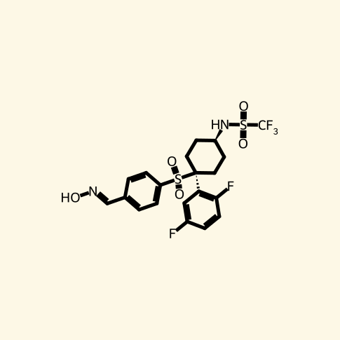 O=S(=O)(N[C@H]1CC[C@@](c2cc(F)ccc2F)(S(=O)(=O)c2ccc(/C=N/O)cc2)CC1)C(F)(F)F